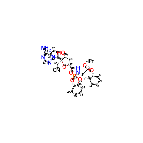 CC(C)OC(=O)[C@H](Cc1ccccc1)NP(=O)(OC[C@@H]1C[C@@H](O)[C@](CC#N)(c2ccc3c(N)ncnn23)O1)Oc1ccccc1